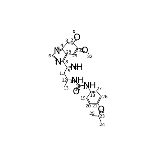 COc1cc2ncnc(C(=N)CC(C)NC(=O)Nc3ccc(OC(C)C)cc3)c2cc1OC